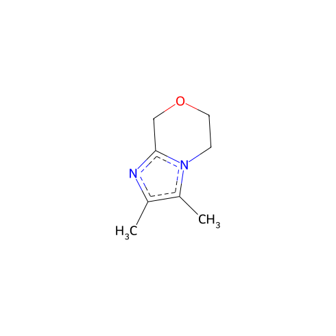 Cc1nc2n(c1C)CCOC2